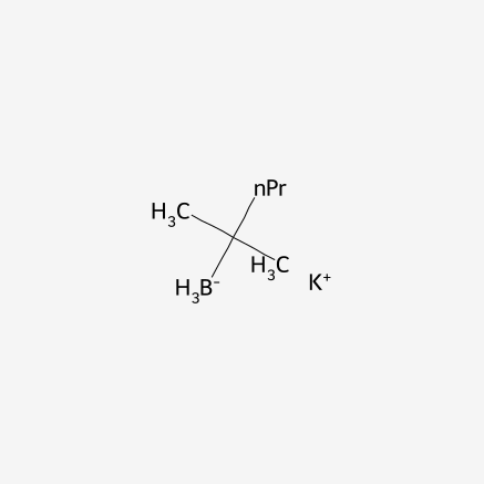 [BH3-]C(C)(C)CCC.[K+]